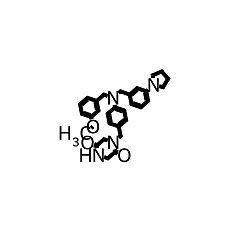 COc1cccc(CN(Cc2cccc(N3CCCC3)c2)c2ccc(CN3CC(=O)NCC3=O)cc2)c1